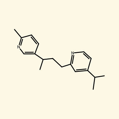 Cc1ccc(C(C)CCc2cc(C(C)C)ccn2)cn1